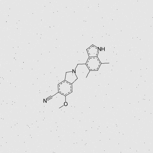 COc1cc2c(cc1C#N)CN(Cc1c(C)cc(C)c3[nH]ccc13)C2